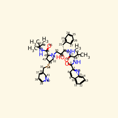 CC(C)[C@H](NC(=O)c1ccc2ccccc2n1)C(=O)N[C@@H](Cc1ccccc1)[C@H](O)CN1C[C@H](SCc2cccnc2)C[C@H]1C(=O)NC(C)(C)C